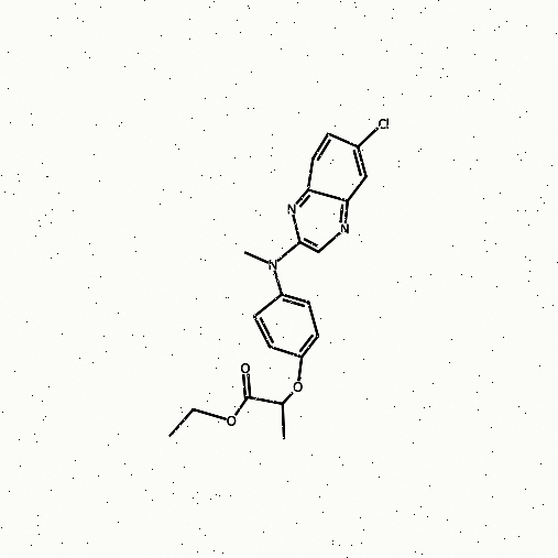 CCOC(=O)C(C)Oc1ccc(N(C)c2cnc3cc(Cl)ccc3n2)cc1